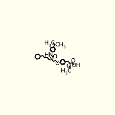 CCOC(Cc1ccc(OCCN(CCCCC2CCCCC2)C(=O)Nc2ccc(C(C)C)cc2)cc1)C(=O)O